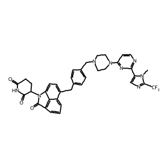 Cn1c(-c2nccc(N3CCN(Cc4ccc(Cc5ccc6c7c(cccc57)C(=O)N6C5CCC(=O)NC5=O)cc4)CC3)n2)cnc1C(F)(F)F